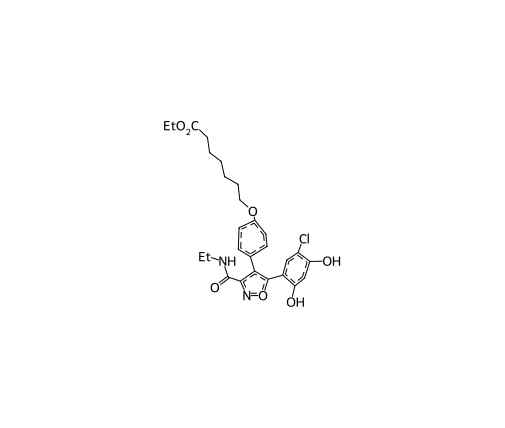 CCNC(=O)c1noc(-c2cc(Cl)c(O)cc2O)c1-c1ccc(OCCCCCCC(=O)OCC)cc1